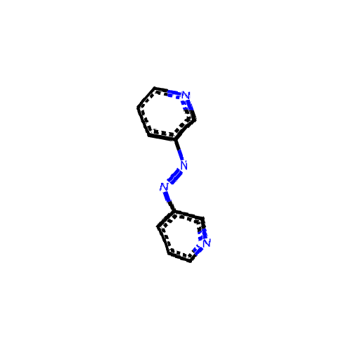 c1cncc(N=Nc2cccnc2)c1